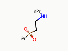 CCCNCCS(=O)(=O)C(C)C